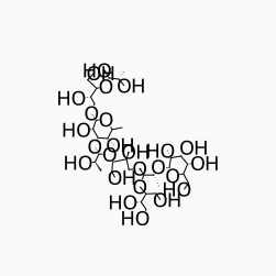 CC1O[C@@H](OC[C@H](O)C(CO)O[C@@H](O)[C@H](C)O)[C@@H](O)C(O[C@H](OC(CO)[C@@H](O)CO[C@H](OC(CO)[C@@H](O)CO)[C@@H](C)O[C@H]2OC(CO)[C@@H](O)C(O)[C@H]2O)[C@@H](C)O)[C@H]1O